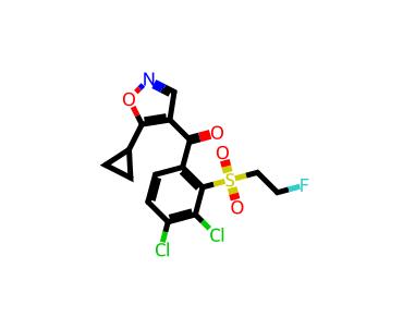 O=C(c1cnoc1C1CC1)c1ccc(Cl)c(Cl)c1S(=O)(=O)CCF